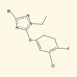 CCn1nc(Br)nc1OC1=CC(Cl)=C(F)CC1